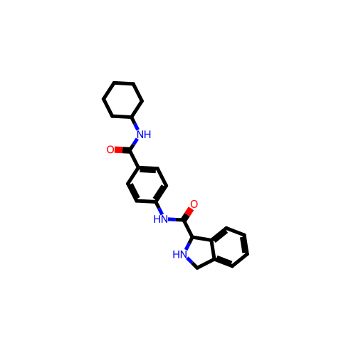 O=C(NC1CCCCC1)c1ccc(NC(=O)C2NCc3ccccc32)cc1